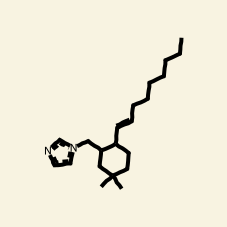 CCCCCCCC=CC1CCC(C)(C)CC1Cn1ccnc1